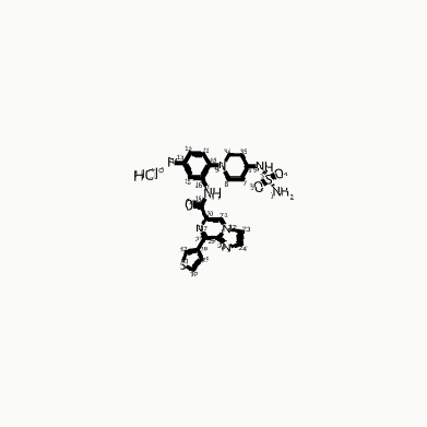 Cl.NS(=O)(=O)NC1CCN(c2ccc(F)cc2NC(=O)c2cn3ccnc3c(-c3ccsc3)n2)CC1